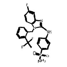 CC(F)(F)c1ccccc1Cn1c(Nc2ccc(S(N)(=O)=O)cc2)nc2cc(F)ccc21